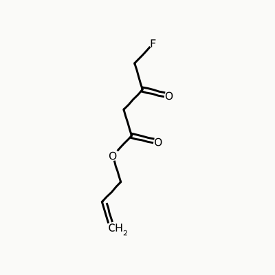 C=CCOC(=O)CC(=O)CF